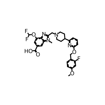 COc1ccc(COc2cccc(C3CCN(Cc4nc5c(OC(F)F)cc(C(=O)O)cc5n4C)CC3)n2)c(F)c1